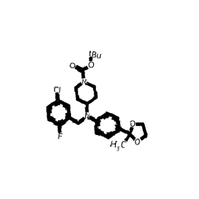 CC(C)(C)OC(=O)N1CCC(N(Cc2cc(Cl)ccc2F)c2ccc(C3(C)OCCO3)cc2)CC1